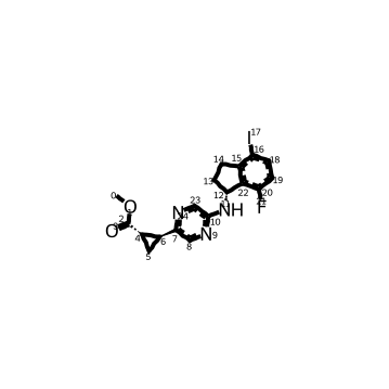 COC(=O)[C@H]1C[C@@H]1c1cnc(N[C@@H]2CCc3c(I)ccc(F)c32)cn1